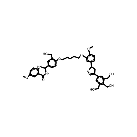 COc1ccc2c(c1)C(=O)NC(c1ccc(OCCCCCOc3cc(C4CC(c5cc(CO)c(CO)c(CO)c5)=NO4)ccc3OC)c(CO)c1)N2